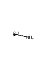 NCCCCCCCCCCCCCCCc1ccccc1O